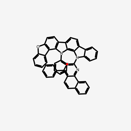 c1ccc(-c2nc(-n3c4ccccc4c4ccc5c6ccc7oc8ccccc8c7c6n(-c6ccccc6)c5c43)nc3c2ccc2ccccc23)cc1